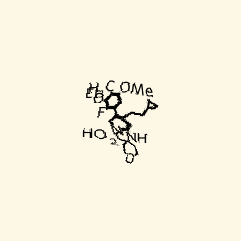 CCOc1c(C)c(OC)cc(-c2cnc(NC3(C(=O)O)CCOCC3)cc2CCC2CC2)c1F